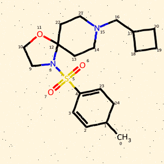 CC1C=CC(S(=O)(=O)N2CCOC23CCN(CC2CCC2)CC3)=CC1